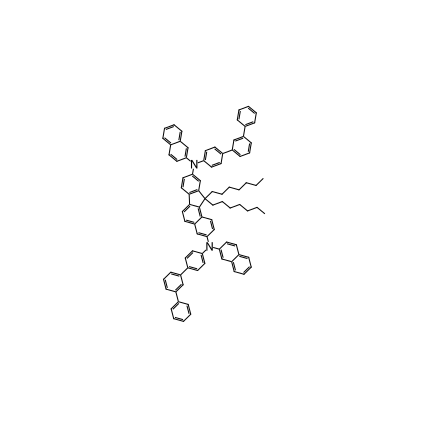 CCCCCCCC1(CCCCCCC)c2cc(N(c3ccc(-c4cccc(-c5ccccc5)c4)cc3)c3ccc4ccccc4c3)ccc2-c2ccc3cc(N(c4ccc(-c5cccc(-c6ccccc6)c5)cc4)c4ccc5ccccc5c4)ccc3c21